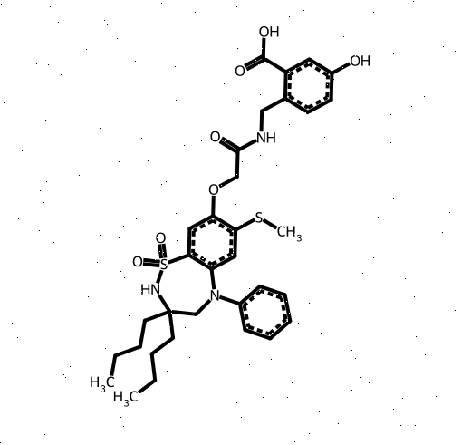 CCCCC1(CCCC)CN(c2ccccc2)c2cc(SC)c(OCC(=O)NCc3ccc(O)cc3C(=O)O)cc2S(=O)(=O)N1